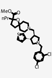 CCCC1(C(=O)OC)CCC2(CCN(C[C@H]3CN(Cc4ccc(Cl)cc4Cl)C[C@@H]3c3ccsc3)CC2)O1